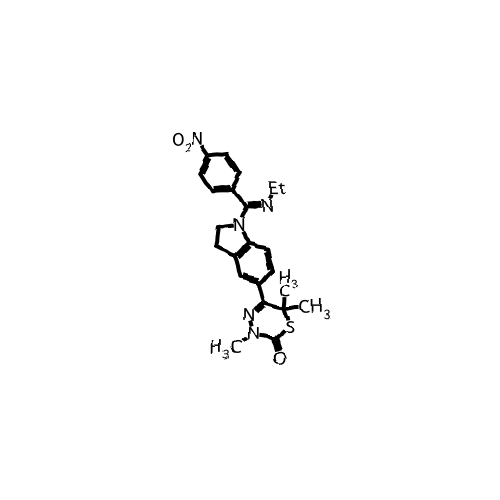 CCN=C(c1ccc([N+](=O)[O-])cc1)N1CCc2cc(C3=NN(C)C(=O)SC3(C)C)ccc21